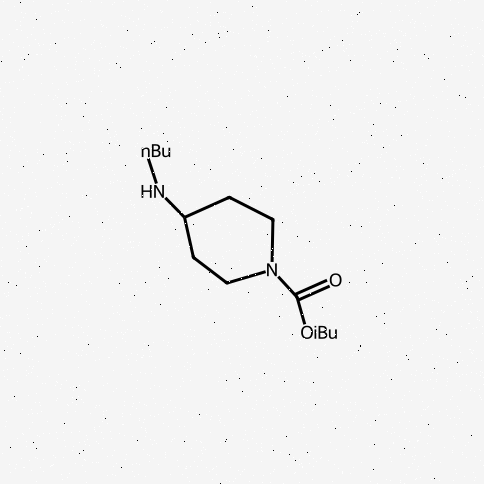 CCCCNC1CCN(C(=O)OCC(C)C)CC1